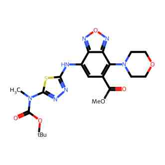 COC(=O)c1cc(Nc2nnc(N(C)C(=O)OC(C)(C)C)s2)c2nonc2c1N1CCOCC1